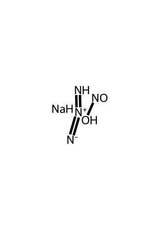 O=NO.[N-]=[N+]=N.[NaH]